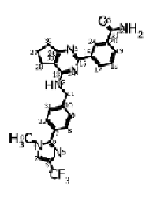 Cn1cc(C(F)(F)F)nc1-c1ccc(CNc2nc(-c3cccc(C(N)=O)c3)nc3c2CCC3)cc1